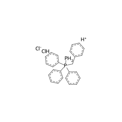 Cl.PP(Cc1ccccc1)(c1ccccc1)(c1ccccc1)c1ccccc1.[Cl-].[H+]